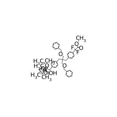 CCOC(=O)C(F)(F)c1ccc(CC(COCc2ccccc2)(COCc2ccccc2)Cc2ccc(C(O)P(=O)(OC(C)(C)C)OC(C)(C)C)cc2)cc1